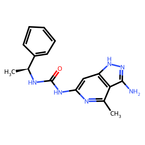 Cc1nc(NC(=O)N[C@@H](C)c2ccccc2)cc2[nH]nc(N)c12